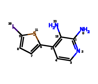 Nc1nccc(-c2ccc(I)s2)c1N